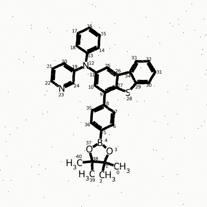 CC1(C)OB(c2ccc(-c3cc(N(c4ccccc4)c4cccnc4)cc4c3sc3ccccc34)cc2)OC1(C)C